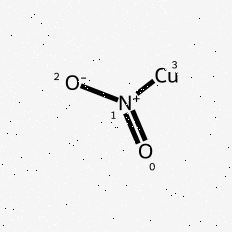 O=[N+]([O-])[Cu]